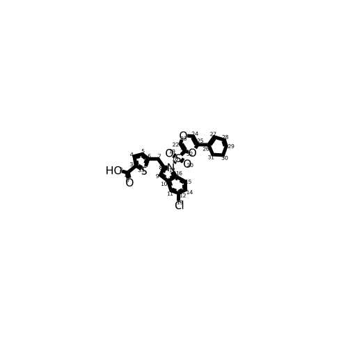 O=C(O)c1ccc(Cc2cc3cc(Cl)ccc3n2S(=O)(=O)C2=COC=C(C3=CC=CCC3)O2)s1